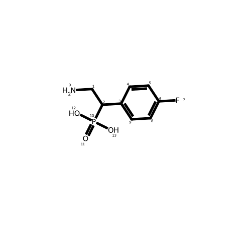 NCC(c1ccc(F)cc1)P(=O)(O)O